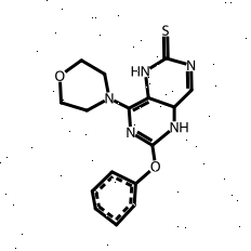 S=C1N=CC2NC(Oc3ccccc3)=NC(N3CCOCC3)=C2N1